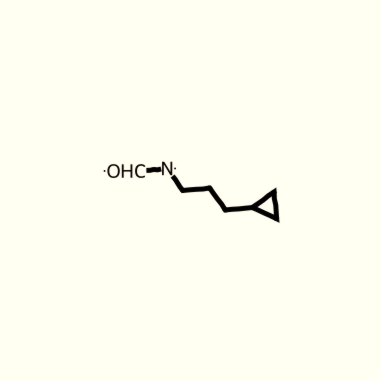 O=[C][N]CCCC1CC1